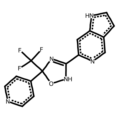 FC(F)(F)C1(c2ccncc2)N=C(c2cc3[nH]ccc3cn2)NO1